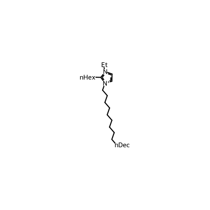 CCCCCCCCCCCCCCCCCCC[n+]1ccn(CC)c1CCCCCC